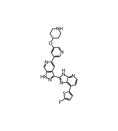 Fc1ccc(-c2ccnc3[nH]c(-c4n[nH]c5cnc(-c6cncc(OC7CCNCC7)c6)cc45)nc23)s1